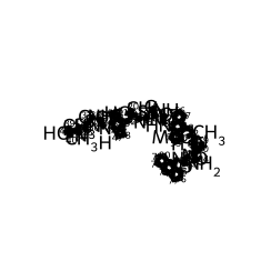 COC(C)(Cc1c2c(c(NC(=O)N=S(N)(=O)c3cnc(C(C)(O)Cc4c5c(c(NC(=O)N=S(N)(=O)c6cnc(C(C)(C)O)s6)c6c4CC6)CC5)s3)c3c1CCC3)CCC2)c1ncc(S(N)(=O)=NC(=O)Nc2c3c(cc4c2CCC4)CCC3)s1